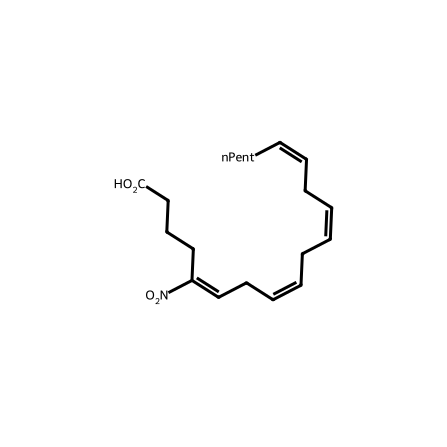 CCCCC/C=C\C/C=C\C/C=C\C/C=C(\CCCC(=O)O)[N+](=O)[O-]